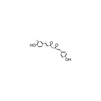 Cc1cc(C=CC(=O)CC(=O)C=Cc2ccc(O)cc2)ccc1O